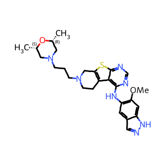 COc1cc2[nH]ncc2cc1Nc1ncnc2sc3c(c12)CCN(CCCN1C[C@@H](C)O[C@@H](C)C1)C3